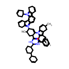 CC1=Cc2c3c(n(C4=CC(n5c6c(c7c8c(ccc75)c5c(n8C7CC=CCC7)CCC=C5)C=CCC6)C(C#N)CC4C4=NC(c5ccccc5)NC(C5CCCC(C6CC=CCC6)C5)N4)c2CC1)C=CC(C)C3